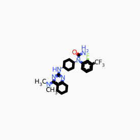 CN(C)c1nc(N[C@H]2CC[C@@H](N(C(N)=O)c3cccc(C(F)(F)F)c3F)CC2)nc2c1CCCC2